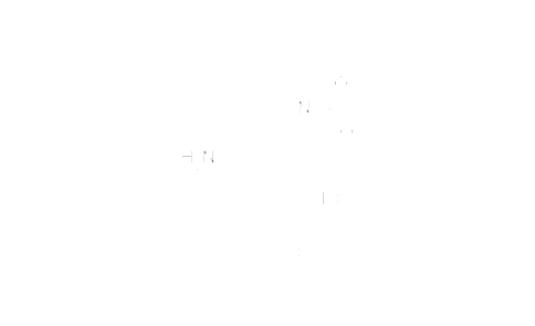 Cl.NCC1(c2cccc(Cl)c2)CCC(N2CCOC2=O)CC1